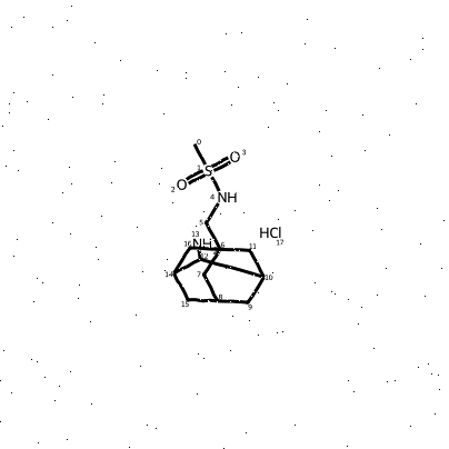 CS(=O)(=O)NCC12CC3CC(C1)C(N)C(C3)C2.Cl